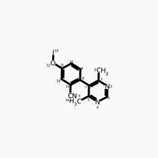 Cc1ncnc(C)c1-c1ccc(OI)cc1C#N